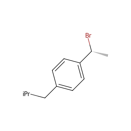 CC(C)Cc1ccc([C@@H](C)Br)cc1